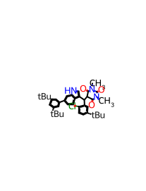 CN1C(=O)C(C(c2cc(C(C)(C)C)ccc2Cl)c2c[nH]c3cc(-c4cc(C(C)(C)C)cc(C(C)(C)C)c4)ccc23)C(=O)N(C)C1=O